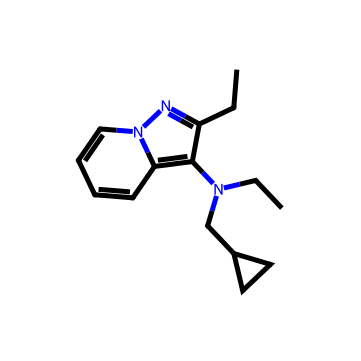 CCc1nn2ccccc2c1N(CC)CC1CC1